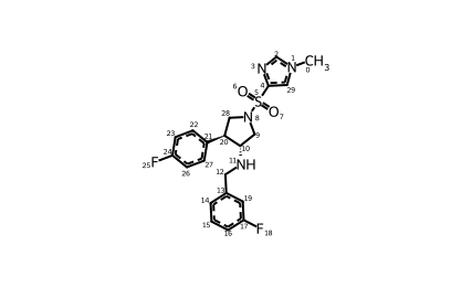 Cn1cnc(S(=O)(=O)N2C[C@H](NCc3cccc(F)c3)[C@@H](c3ccc(F)cc3)C2)c1